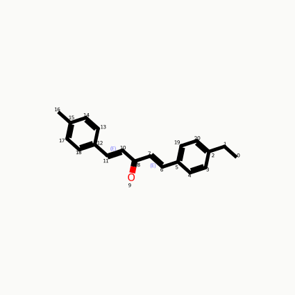 CCc1ccc(/C=C/C(=O)/C=C/c2ccc(C)cc2)cc1